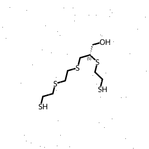 OC[C@@H](CSCCSCCS)SCCS